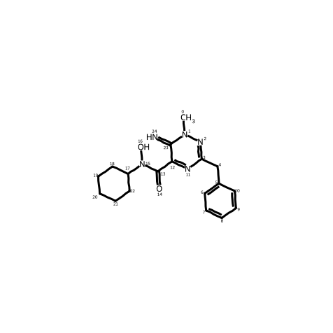 Cn1nc(Cc2ccccc2)nc(C(=O)N(O)C2CCCCC2)c1=N